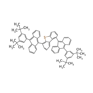 CC(C)(C)c1cc(-c2c3ccccc3c(-c3cccc4c3sc3cccc(-c5c6ccccc6c(-c6cc(C(C)(C)C)cc(C(C)(C)C)c6)c6ccccc56)c34)c3ccccc23)cc(C(C)(C)C)c1